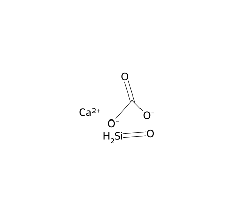 O=C([O-])[O-].O=[SiH2].[Ca+2]